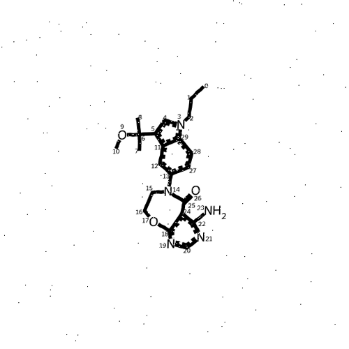 CCCn1cc(C(C)(C)OC)c2cc(N3CCOc4ncnc(N)c4C3=O)ccc21